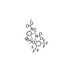 CCOC(=O)N1c2ccc(OC)c(CS(C)(=O)=O)c2[C@@H](N(Cc2cc(C(F)(F)F)cc(C(F)(F)F)c2)C(=O)OC)C[C@H]1C